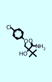 CC(C)(C)C(O)(COc1ccc(Cl)cc1)C(N)=O